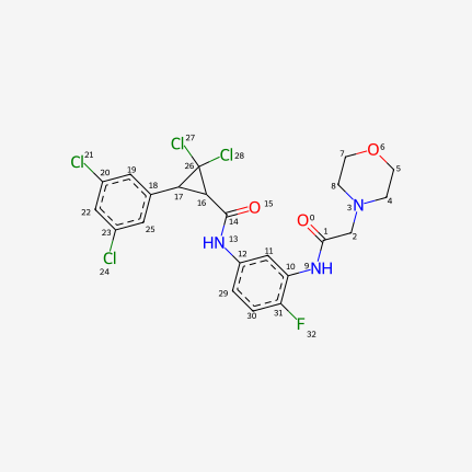 O=C(CN1CCOCC1)Nc1cc(NC(=O)C2C(c3cc(Cl)cc(Cl)c3)C2(Cl)Cl)ccc1F